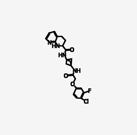 O=C(COc1ccc(Cl)c(F)c1)NC12CC(NC(=O)C3CCc4cccnc4N3)(C1)C2